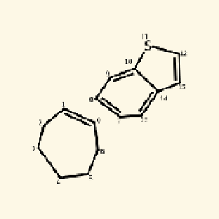 C1=CCCCCC1.c1ccc2sccc2c1